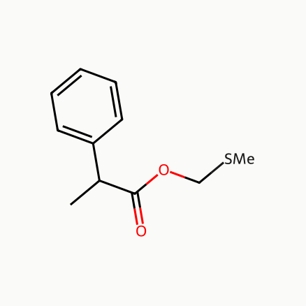 CSCOC(=O)C(C)c1ccccc1